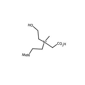 CNCC[N+](C)(CCO)CC(=O)O